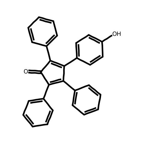 O=C1C(c2ccccc2)=C(c2ccccc2)C(c2ccc(O)cc2)=C1c1ccccc1